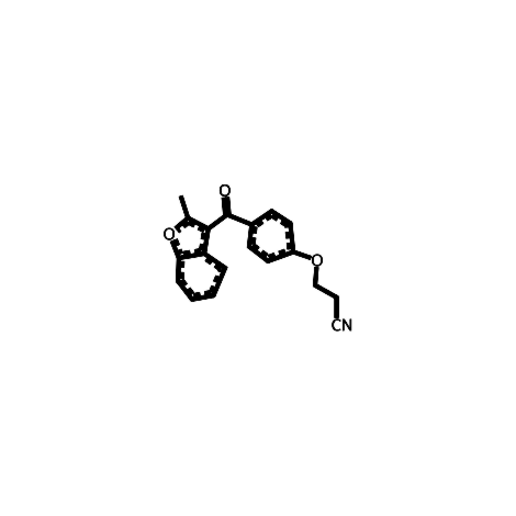 Cc1oc2ccccc2c1C(=O)c1ccc(OCCC#N)cc1